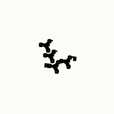 O=[N+]([O-])O.O=[N+]([O-])[O-].O=[N+]([O-])[O-].O=[N+]([O-])[O-].[Ti]